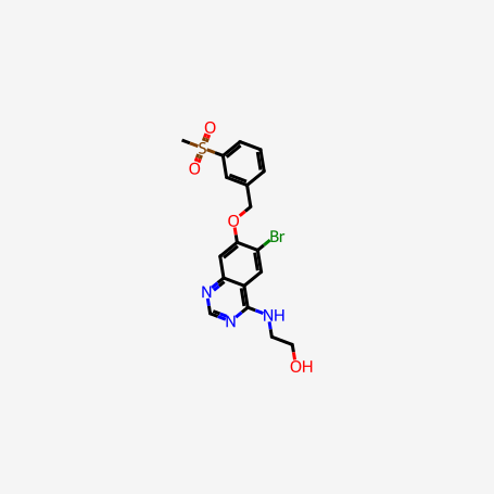 CS(=O)(=O)c1cccc(COc2cc3ncnc(NCCO)c3cc2Br)c1